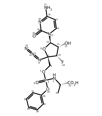 C[C@H](NP(=O)(OC[C@@]1(N=[N+]=[N-])O[C@@H](n2ccc(N)nc2=O)[C@H](O)[C@@H]1F)Oc1ccccc1)C(=O)O